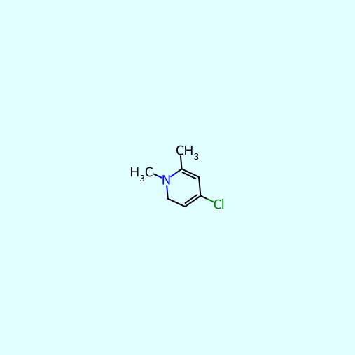 CC1=CC(Cl)=CCN1C